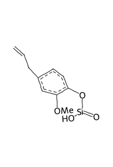 C=CCc1ccc(O[Si](=O)O)c(OC)c1